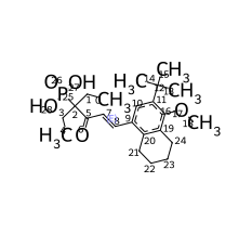 CCC(CC)(C(=O)/C=C/c1cc(C(C)(C)C)c(OC)c2c1CCCC2)P(=O)(O)O